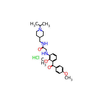 COc1ccc(C(=O)c2cccc(NCC(=O)NCC3CCN(C(C)C)CC3)c2OC)cc1.Cl